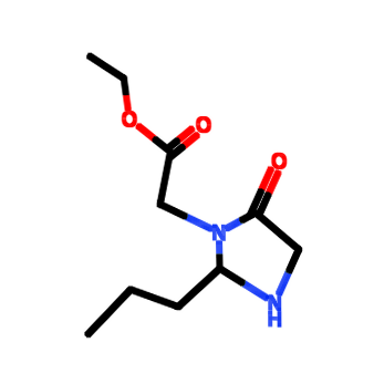 CCCC1NCC(=O)N1CC(=O)OCC